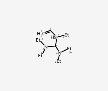 C=C[SiH](CC)C(N(CC)CC)N(CC)CC